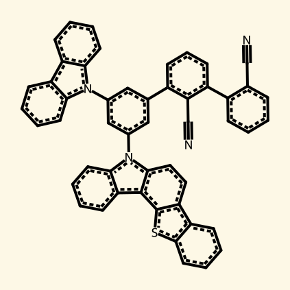 N#Cc1ccccc1-c1cccc(-c2cc(-n3c4ccccc4c4ccccc43)cc(-n3c4ccccc4c4c5sc6ccccc6c5ccc43)c2)c1C#N